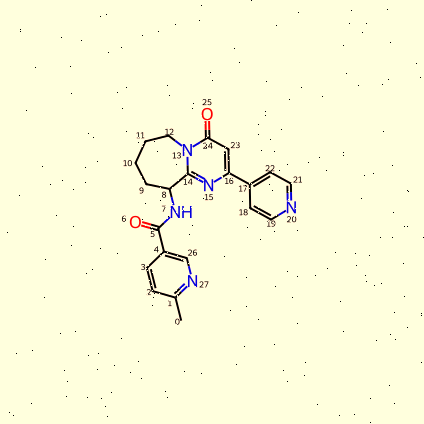 Cc1ccc(C(=O)NC2CCCCn3c2nc(-c2ccncc2)cc3=O)cn1